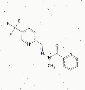 CN(/N=C/c1ccc(C(F)(F)F)cn1)C(=O)c1ccccn1